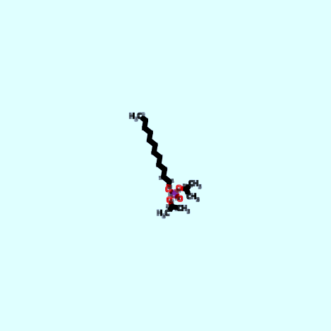 CCCCCCCCCCCCOP(=O)(OC(C)C)OC(C)C